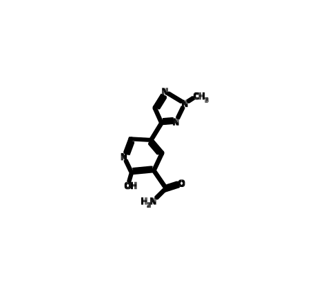 Cn1ncc(-c2cnc(O)c(C(N)=O)c2)n1